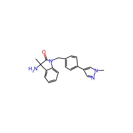 Cn1cc(-c2ccc(CN3C(=O)C(C)(N)c4ccccc43)cc2)cn1